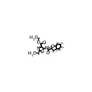 CCOC(=O)c1nc(CC)oc1NC(=O)C1Cc2ccccc2O1